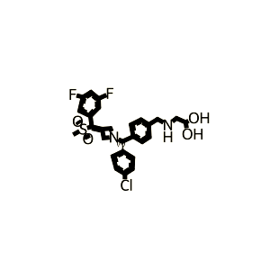 CS(=O)(=O)C(=C1CN([C@@H](c2ccc(Cl)cc2)c2ccc(CNCC(O)O)cc2)C1)c1cc(F)cc(F)c1